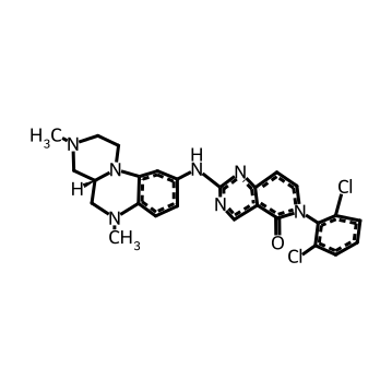 CN1CCN2c3cc(Nc4ncc5c(=O)n(-c6c(Cl)cccc6Cl)ccc5n4)ccc3N(C)C[C@@H]2C1